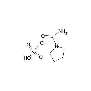 NC(=O)N1CCCC1.O=S(=O)(O)O